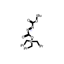 CC(C)C[Si](CC(C)C)(CC(C)C)OC(=O)/N=N/C(=O)OC(C)(C)C